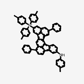 Cc1ccc(Nc2ccc3c(c2)c2ccc(-c4ccccc4)c4cc5c6cc([N+](c7ccc(C)cc7)(c7ccc(C)cc7)c7ccc(C)cc7)cc7cc(-c8ccccc8)cc(c76)c5c3c42)cc1